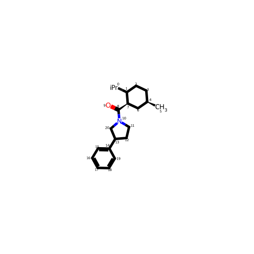 CC(C)C1CC[C@@H](C)C[C@H]1C(=O)N1CCC(c2ccccc2)C1